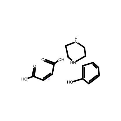 C1CNCCN1.O=C(O)/C=C\C(=O)O.Oc1ccccc1